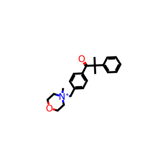 CC(C)(C(=O)c1ccc(C[N+]2(C)CCOCC2)cc1)c1ccccc1